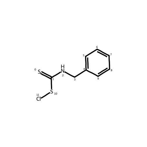 S=C(NCc1ccccc1)SCl